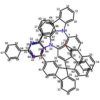 c1ccc(-c2ccc(-n3c4ccccc4c4ccc5c6ccccc6n(-c6ccc7c(c6)C6(c8ccccc8-c8ccc(-c9nc(-c%10ccccc%10)nc(-c%10ccccc%10)n9)cc86)c6ccccc6-7)c5c43)cc2)cc1